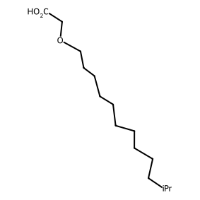 CC(C)CCCCCCCCCCOCC(=O)O